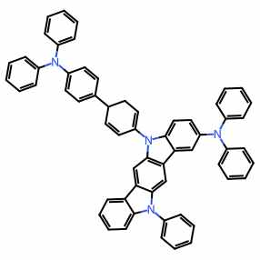 C1=CC(c2ccc(N(c3ccccc3)c3ccccc3)cc2)CC=C1n1c2ccc(N(c3ccccc3)c3ccccc3)cc2c2cc3c(cc21)c1ccccc1n3-c1ccccc1